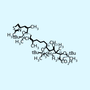 CC(=CC[C@H](O[Si](C)(C)C(C)(C)C)C(C)=Cc1csc(C)n1)CCC[C@H](C)[C@H](O[Si](C)(C)C(C)(C)C)[C@@H](C)C(=O)C(C)(C)[C@H](CC(=O)O)O[Si](C)(C)C(C)(C)C